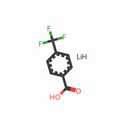 O=C(O)c1ccc(C(F)(F)F)cc1.[LiH]